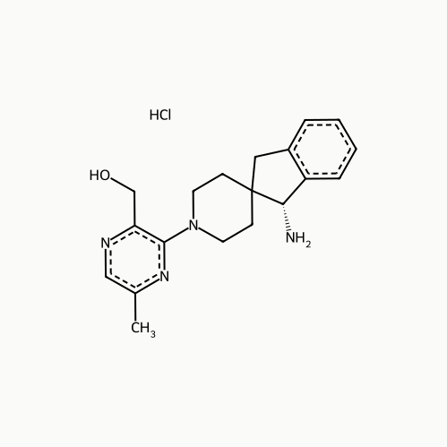 Cc1cnc(CO)c(N2CCC3(CC2)Cc2ccccc2[C@@H]3N)n1.Cl